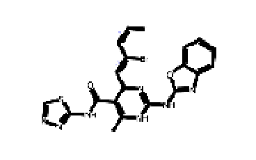 C/C=C\C(Br)=C\C1N=C(Nc2nc3ccccc3o2)NC(C)=C1C(=O)Nc1nncs1